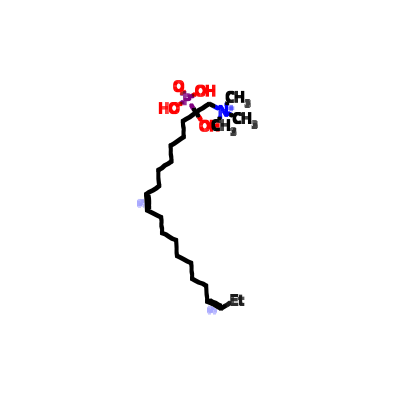 CC/C=C\CCCCCCC/C=C\CCCCCCC(O)(C[N+](C)(C)C)P(=O)(O)O